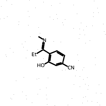 CC/C(=N\C)c1ccc(C#N)cc1O